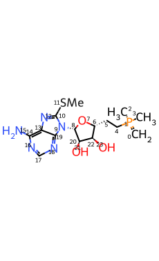 C=P(C)(C)CC[C@H]1O[C@@H](n2c(SC)nc3c(N)ncnc32)[C@H](O)[C@@H]1O